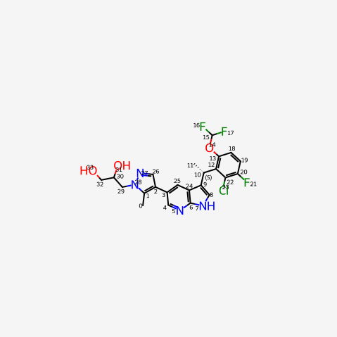 Cc1c(-c2cnc3[nH]cc([C@H](C)c4c(OC(F)F)ccc(F)c4Cl)c3c2)cnn1CC(O)CO